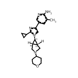 Cc1cc(-c2cn([C@H]3[C@@H]4CN(C5CCOCC5)C[C@@H]43)c(C3CC3)n2)cnc1N